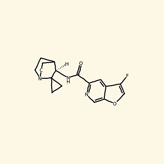 O=C(N[C@@H]1C2CCN(CC2)C12CC2)c1cc2c(F)coc2cn1